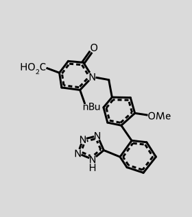 CCCCc1cc(C(=O)O)cc(=O)n1Cc1ccc(-c2ccccc2-c2nnn[nH]2)c(OC)c1